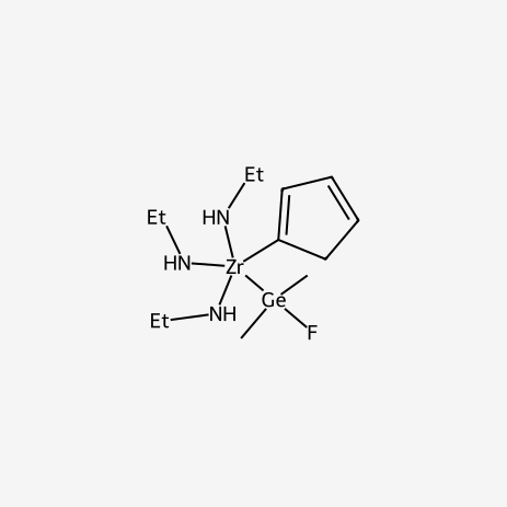 CC[NH][Zr]([NH]CC)([NH]CC)([C]1=CC=CC1)[Ge]([CH3])([CH3])[F]